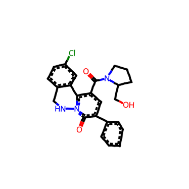 O=C(c1cc(-c2ccccc2)c(=O)n2c1-c1cc(Cl)ccc1CN2)N1CCCC1CO